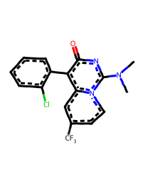 CN(C)c1nc(=O)c(-c2ccccc2Cl)c2cc(C(F)(F)F)ccn12